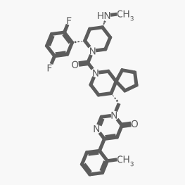 CN[C@@H]1CCN(C(=O)N2CC[C@@H](Cn3cnc(-c4ccccc4C)cc3=O)C3(CCCC3)C2)[C@H](c2cc(F)ccc2F)C1